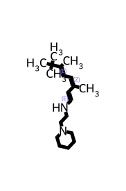 CC(=C/C=C(\C)C(C)(C)C)/C=C/NCCN1CCCCC1